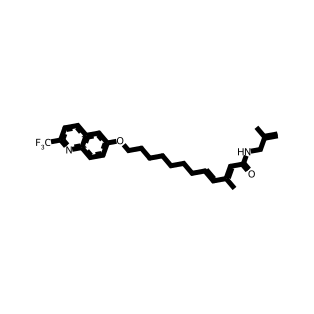 C=C(C)CNC(=O)C=C(C)C=CCCCCCCCOc1ccc2nc(C(F)(F)F)ccc2c1